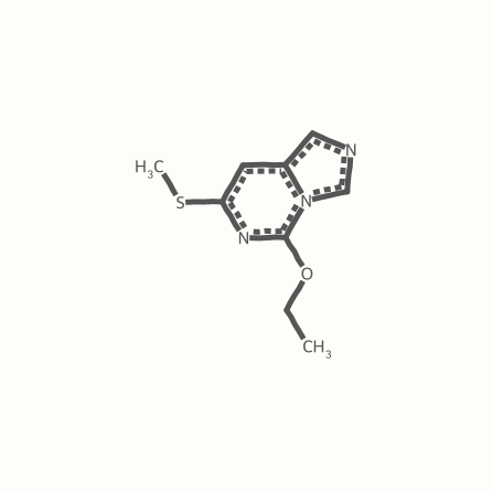 CCOc1nc(SC)cc2cncn12